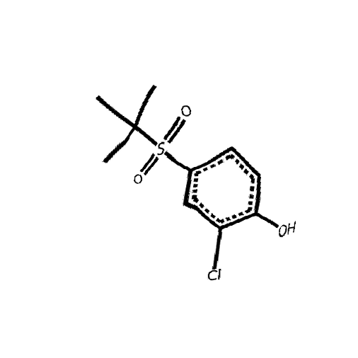 CC(C)(C)S(=O)(=O)c1ccc(O)c(Cl)c1